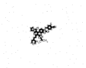 CC(C)c1nnc(-c2c(CCC3CCOCC3)nc3c(c2-c2ccc4c(c2)oc(=O)n4Cc2ccc(C#N)c(F)c2)c(=O)n2n3CCC2)o1